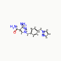 NC(=O)c1cn(Cc2ccc(Cn3cccn3)cc2)nc1N